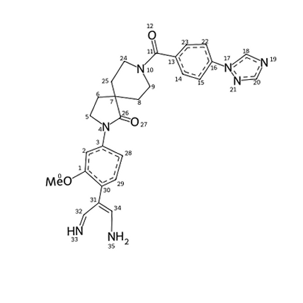 COc1cc(N2CCC3(CCN(C(=O)c4ccc(-n5cncn5)cc4)CC3)C2=O)ccc1/C(C=N)=C/N